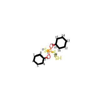 S=P(OC1CCCCC1)(OC1CCCCC1)SS